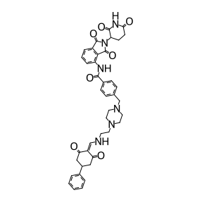 O=C1CCC(N2C(=O)c3cccc(NC(=O)c4ccc(CN5CCN(CCNC=C6C(=O)CC(c7ccccc7)CC6=O)CC5)cc4)c3C2=O)C(=O)N1